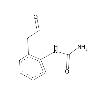 NC(=O)Nc1ccccc1C[C]=O